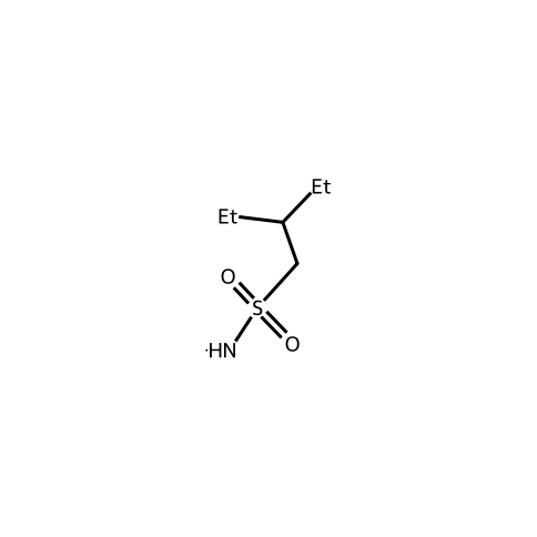 CCC(CC)CS([NH])(=O)=O